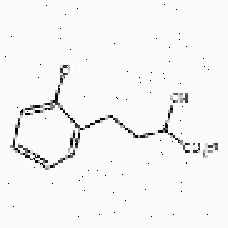 CCOC(=O)C(C#N)CCc1ccccc1Cl